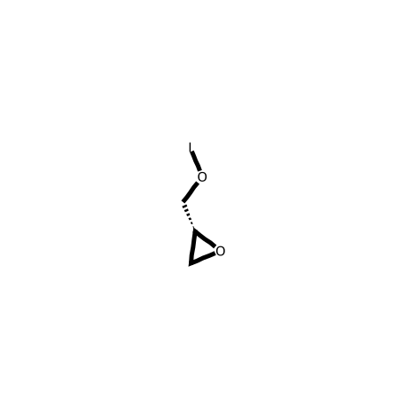 IOC[C@H]1CO1